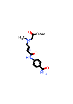 COC(=O)CN(C)C/C=C/C(=O)Nc1ccc(C(N)=O)cc1